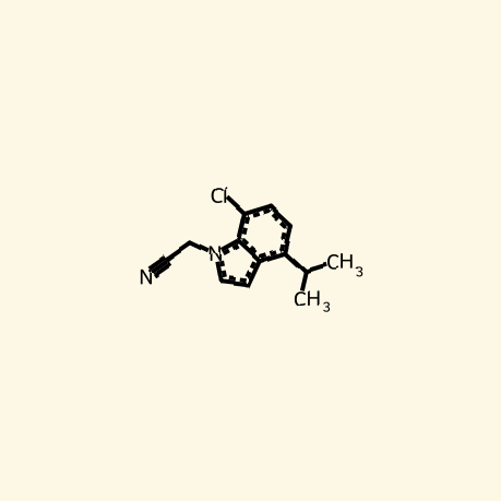 CC(C)c1ccc(Cl)c2c1ccn2CC#N